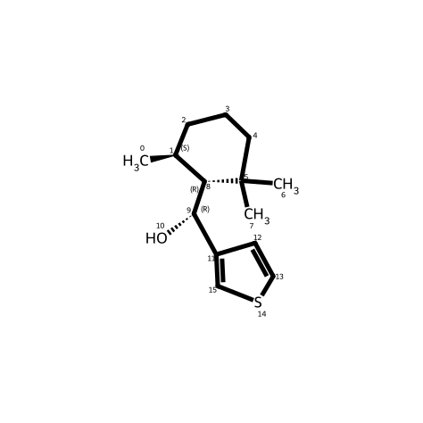 C[C@H]1CCCC(C)(C)[C@@H]1[C@@H](O)c1ccsc1